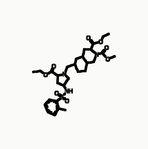 CCOC(=O)C1CC(NS(=O)(=O)c2ccccc2C)CN1CC1CCC2CN(C(=O)OC)C(C(=O)OCC)CC2C1